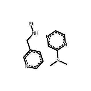 CCNCc1cccnc1.CN(C)c1cnccn1